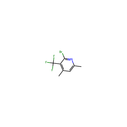 Cc1cc(C)c(C(F)(F)F)c(Br)n1